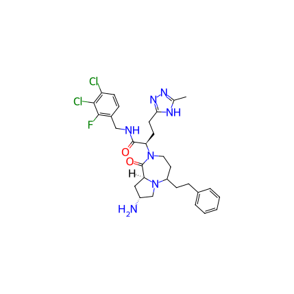 Cc1nnc(CC[C@H](C(=O)NCc2ccc(Cl)c(Cl)c2F)N2CCC(CCc3ccccc3)N3C[C@H](N)C[C@H]3C2=O)[nH]1